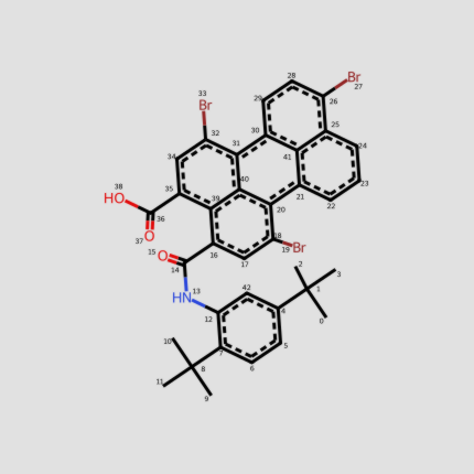 CC(C)(C)c1ccc(C(C)(C)C)c(NC(=O)c2cc(Br)c3c4cccc5c(Br)ccc(c6c(Br)cc(C(=O)O)c2c63)c54)c1